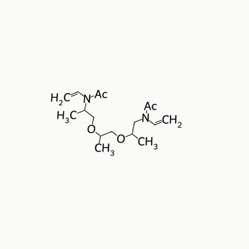 C=CN(CC(C)OCC(C)OCC(C)N(C=C)C(C)=O)C(C)=O